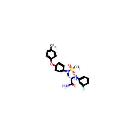 CS(=O)(=O)N(C[C@H](Nc1cccc(F)c1)C(N)=O)c1ccc(Oc2ccc(C(F)(F)F)cc2)cc1